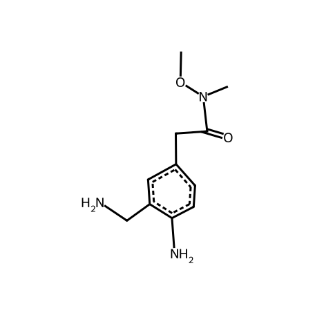 CON(C)C(=O)Cc1ccc(N)c(CN)c1